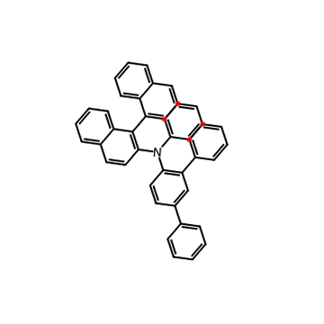 c1ccc(-c2ccc(N(c3ccccc3)c3ccc4ccccc4c3-c3cccc4ccccc34)c(-c3ccccc3)c2)cc1